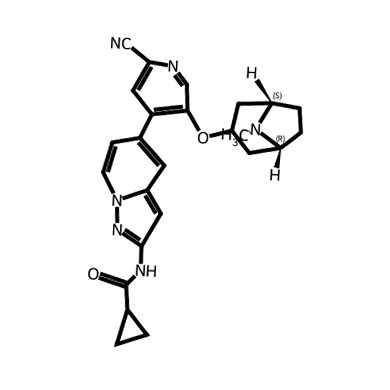 CN1[C@@H]2CC[C@H]1CC(Oc1cnc(C#N)cc1-c1ccn3nc(NC(=O)C4CC4)cc3c1)C2